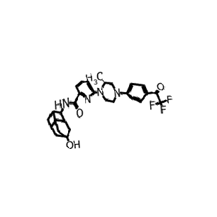 C[C@@H]1CN(c2ccc(C(=O)C(F)(F)F)cc2)CCN1c1cccc(C(=O)NC2C3CC4CC2CC(O)(C4)C3)n1